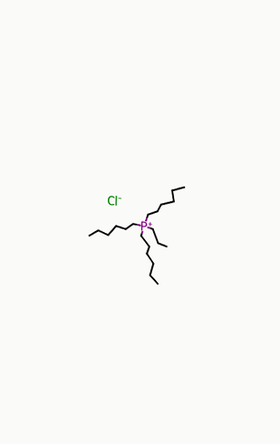 CCCCCC[P+](CCC)(CCCCCC)CCCCCC.[Cl-]